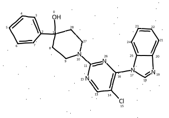 OC1(c2ccccc2)CCN(c2ncc(Cl)c(-n3cnc4ccccc43)n2)CC1